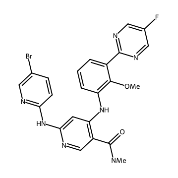 CNC(=O)c1cnc(Nc2ccc(Br)cn2)cc1Nc1cccc(-c2ncc(F)cn2)c1OC